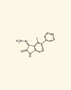 Cc1c(-c2ccncc2)ccc2c1/C(=N/N)C(=O)N2